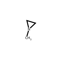 CN1CC1